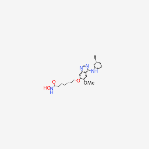 C#Cc1cccc(Nc2ncnc3cc(OCCCCCCC(=O)NO)c(OC)cc23)c1